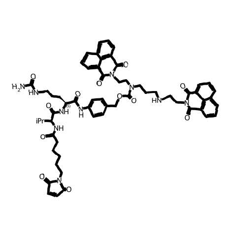 CC(C)C(NC(=O)CCCCCN1C(=O)C=CC1=O)C(=O)N[C@@H](CCCNC(N)=O)C(=O)Nc1ccc(COC(=O)N(CCCNCCN2C(=O)c3cccc4cccc(c34)C2=O)CCN2C(=O)c3cccc4cccc(c34)C2=O)cc1